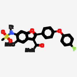 CCN(c1cc2oc(-c3ccc(Oc4ccc(F)cc4)cc3)c(C(=O)NC)c2cc1OC)S(C)(=O)=O